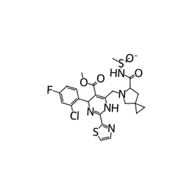 COC(=O)C1=C(CN2CC3(CC3)CC2C(=O)N[S+](C)[O-])NC(c2nccs2)=NC1c1ccc(F)cc1Cl